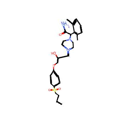 CCCCS(=O)(=O)c1ccc(OCC(O)CN2CCN(C(C(N)=O)c3c(C)cccc3C)CC2)cc1